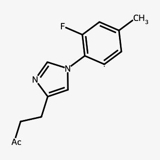 CC(=O)CCc1cn(-c2[c]cc(C)cc2F)cn1